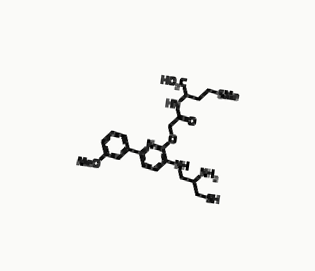 COc1cccc(-c2ccc(NCC(N)CS)c(OCC(=O)NC(CCSC)C(=O)O)n2)c1